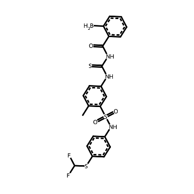 Bc1ccccc1C(=O)NC(=S)Nc1ccc(C)c(S(=O)(=O)Nc2ccc(SC(F)F)cc2)c1